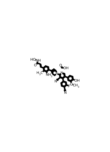 COc1cc(-c2cnc(N3CC4CC3CC4c3ccc(/C=C/C(=O)NO)c(C)c3N)c(C#N)c2-c2ccc(C#N)c(F)c2)ccc1O.O=CO